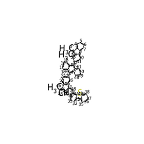 CC1(C)c2ccccc2-c2ccc(-c3c4ccccc4c(-c4ccc5c(c4)-c4cc6c(ccc7c8ccccc8sc67)cc4C5(C)C)c4ccccc34)cc21